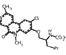 Cc1cc2c(cn1)c(=O)n(C)c1cc(OCC(CC(C)C)NC(=O)O)c(Cl)cc21